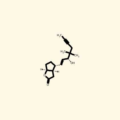 CC#CCC(C)(C)[C@H](O)/C=C/[C@H]1CC[C@@H]2OC(=O)C[C@@H]21